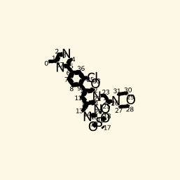 Cc1cncc(-c2ccc(-c3cc4cnc(S(C)(=O)=O)nc4n(CC(=O)N4CCOCC4)c3=O)c(Cl)c2)n1